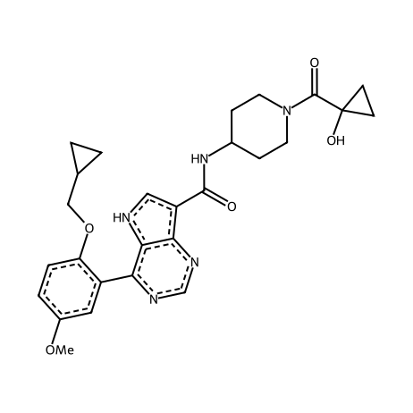 COc1ccc(OCC2CC2)c(-c2ncnc3c(C(=O)NC4CCN(C(=O)C5(O)CC5)CC4)c[nH]c23)c1